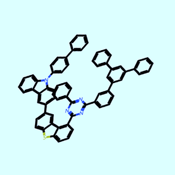 c1ccc(-c2ccc(-n3c4ccccc4c4cc(-c5ccc6sc7cccc(-c8nc(-c9ccccc9)nc(-c9cccc(-c%10cc(-c%11ccccc%11)cc(-c%11ccccc%11)c%10)c9)n8)c7c6c5)ccc43)cc2)cc1